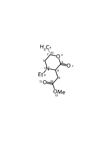 CCN1C[C@H](C)OC(=O)C1CC(=O)OC